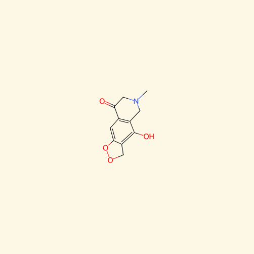 CN1CC(=O)c2cc3c(c(O)c2C1)COO3